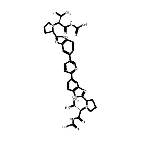 CC(C)[C@@H](C(=O)NC(=O)O)N1CCCC1c1nc2cc(-c3ccc(-c4ccc5[nH]c(C6CCCN6[C@H](C(=O)NC(=O)O)C(C)C)nc5c4)nc3)ccc2[nH]1